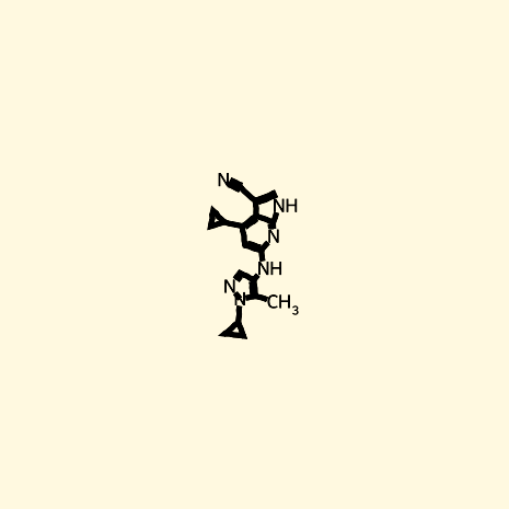 Cc1c(Nc2cc(C3CC3)c3c(C#N)c[nH]c3n2)cnn1C1CC1